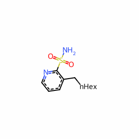 CCCCCCCc1cccnc1S(N)(=O)=O